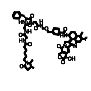 Cc1c(F)cc2nc3c(c4c2c1CC[C@@H]4NC(=O)c1ccc(COCNC(=O)CNC(=O)[C@H](Cc2ccccc2)NC(=O)CNC(=O)CNC(=O)CCCCCN2C(=O)CC(C)C2C)cc1)Cn1c-3cc2c(c1=O)COC(=O)[C@@H]2O